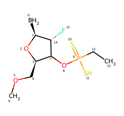 B[C@@H]1O[C@H](COC)C(OP(=S)(S)CC)[C@H]1F